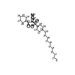 CCCCCCCCCCCC1CCC(S(=O)(=O)C(=[N+]=[N-])C(=O)C2CCCCC2)CC1